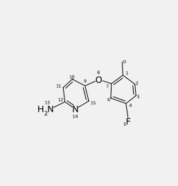 Cc1ccc(F)cc1Oc1ccc(N)nc1